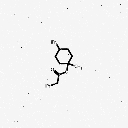 CC(C)CC(=O)OC1(C)CCC(C(C)C)CC1